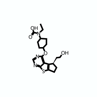 CCN(C(=O)O)C1CCC(Oc2ncnc3sc4c(c23)[C@@H](CCO)CC4)CC1